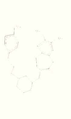 COc1ccc(OCCN2CCCC(CN3CCc4cc(OC)c(OC)cc4CC3=O)C2)cc1